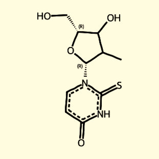 CC1C(O)[C@@H](CO)O[C@H]1n1ccc(=O)[nH]c1=S